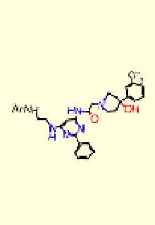 CC(=O)NCCNc1cc(NC(=O)CN2CCC(O)(c3cccc(C(F)(F)F)c3)CC2)nc(-c2ccccc2)n1